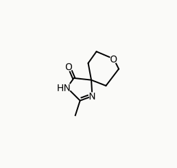 CC1=NC2(CCOCC2)C(=O)N1